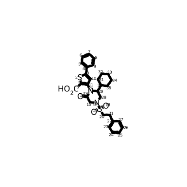 O=C(O)c1sc(-c2ccccc2)cc1N1C(=O)CN(S(=O)(=O)CCc2ccccc2)CC1C1CCCCC1